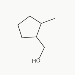 CC1CCCC1CO